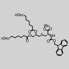 CCCCCCCCCCCCCCCC(=O)OC[C@H](CSC[C@H](NC(=O)OCC1c2ccccc2-c2ccccc21)C(=O)OC(C)(C)C)OC(=O)CCCCCCCCCCCCCCC